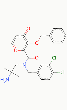 CC(C)(N)CN(Cc1ccc(Cl)c(Cl)c1)C(=O)c1occc(=O)c1OCc1ccccc1